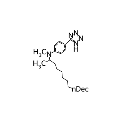 CCCCCCCCCCCCCCCCC(C)N(C)c1ccc(-c2nnn[nH]2)cc1